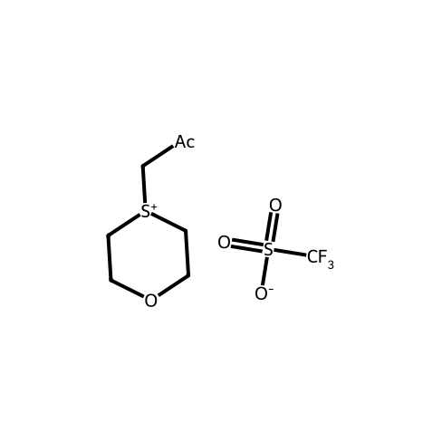 CC(=O)C[S+]1CCOCC1.O=S(=O)([O-])C(F)(F)F